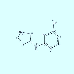 CC(C)c1ccnc(NC2CCNC2)c1